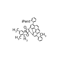 CCCC(C)c1ccccc1-c1cc2c3c(=O)n(-c4cc(C)cc(C)c4C)c(=O)c3c3cc(-c4ccccc4C)c4ccc5ccc1c1c5c4c3c21